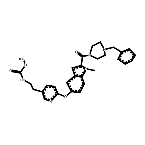 Cn1c(C(=O)N2CCN(Cc3ccccc3)CC2)cc2cc(Oc3ccc(CCNC(=O)OC(C)(C)C)cn3)ccc21